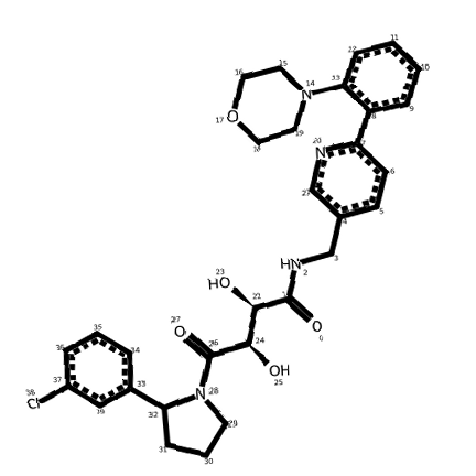 O=C(NCc1ccc(-c2ccccc2N2CCOCC2)nc1)[C@H](O)[C@@H](O)C(=O)N1CCCC1c1cccc(Cl)c1